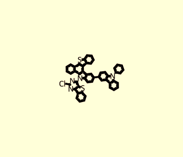 Clc1nc(-n2c3ccc(-c4ccc5c(c4)c4ccccc4n5-c4ccccc4)cc3c3c4c5ccccc5sc4c4ccccc4c32)c2sc3ccccc3c2n1